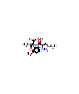 COC(=O)[C@@H](NC(=O)C(N)CC(=O)O)[C@@H](C)OC1(C)CCCC1